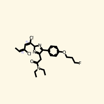 C/C=C(Cl)\C=C(\Cl)C1N=C(CC(=O)N(CC)CC)C(c2ccc(OCCCF)cc2)=N1